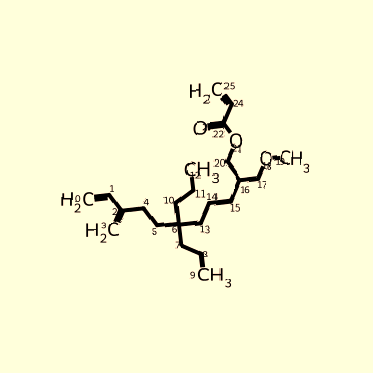 C=CC(=C)CCC(CCC)(CCC)CCCC(COC)COC(=O)C=C